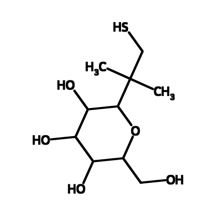 CC(C)(CS)C1OC(CO)C(O)C(O)C1O